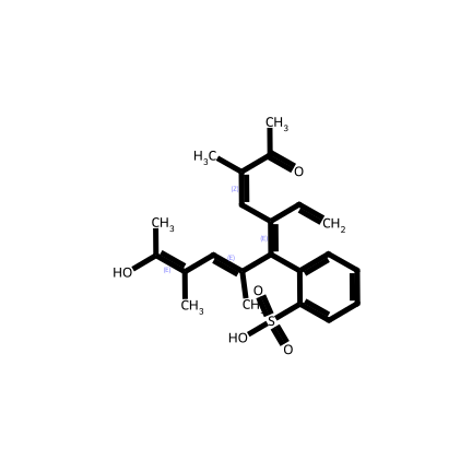 C=CC(/C=C(/C)C(C)=O)=C(/C(C)=C/C(C)=C(\C)O)c1ccccc1S(=O)(=O)O